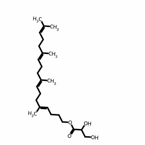 CC(C)=CCC/C(C)=C/CC/C(C)=C/CCC(C)=CCCCOC(=O)C(O)CO